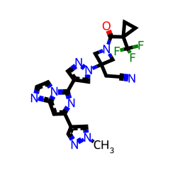 Cn1cc(-c2cc3nccn3c(-c3cnn(C4(CC#N)CN(C(=O)C5(C(F)(F)F)CC5)C4)c3)n2)cn1